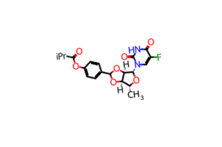 CC(C)C(=O)Oc1ccc(C2O[C@@H]3[C@H](O2)[C@@H](C)O[C@H]3n2cc(F)c(=O)[nH]c2=O)cc1